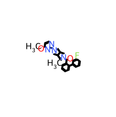 COc1ccnc(N2CC3CN(C(=O)c4c(C)cccc4-c4cccc(F)c4)CC3C2)n1